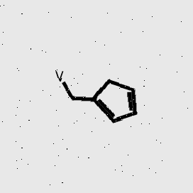 [V][CH2]C1=CC=CC1